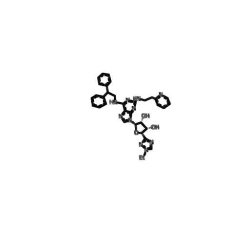 CCn1cnc([C@H]2O[C@@H](n3cnc4c(NCC(c5ccccc5)c5ccccc5)nc(NCCc5ccccn5)nc43)[C@H](O)[C@@H]2O)n1